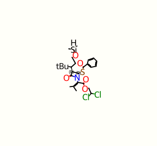 CC(C)=C(C(=O)OCC(Cl)Cl)N1C(=O)[C@@H](C(CCO[SiH](C)C)C(C)(C)C)[C@H]1SC(=O)c1ccccc1